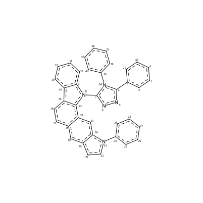 c1ccc(-c2nnc(-n3c4ccccc4c4ccc5cc6ccn(-c7ccccc7)c6cc5c43)n2-c2ccccc2)cc1